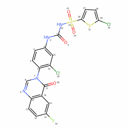 O=C(Nc1ccc(-n2cnc3ccc(F)cc3c2=O)c(Cl)c1)NS(=O)(=O)c1ccc(Cl)s1